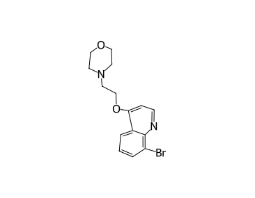 Brc1cccc2c(OCCN3CCOCC3)ccnc12